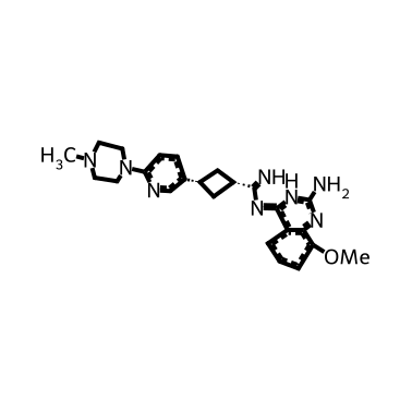 COc1cccc2/c(=N/C(=N)[C@H]3C[C@@H](c4ccc(N5CCN(C)CC5)nc4)C3)[nH]c(N)nc12